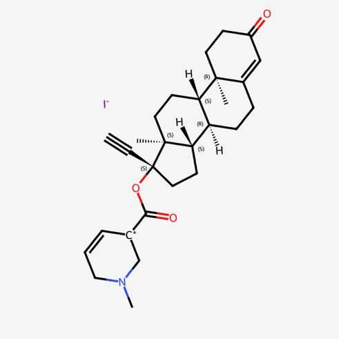 C#C[C@]1(OC(=O)[C+]2C=CCN(C)C2)CC[C@H]2[C@@H]3CCC4=CC(=O)CC[C@]4(C)[C@H]3CC[C@@]21C.[I-]